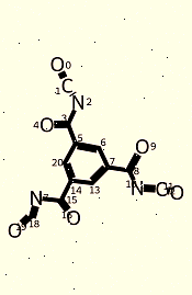 O=C=NC(=O)c1cc(C(=O)N=C=O)cc(C(=O)N=C=O)c1